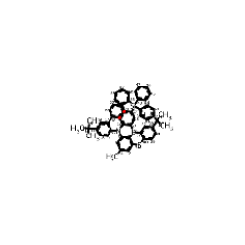 Cc1cc2c3c(c1)N(c1ccc(C(C)(C)C)cc1-c1ccccc1)c1cc4c(cc1B3c1cc(C(C)(C)C)ccc1S2)[Si](c1ccccc1)(c1ccccc1)c1ccccc1-4